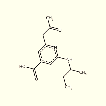 CCC(C)Nc1cc(C(=O)O)cc(CC(C)=O)n1